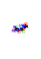 CC(C)c1cc(Oc2cc(Cl)c(-n3cc(C#N)c(=O)[nH]c3=O)cc2Cl)n[nH]c1=O